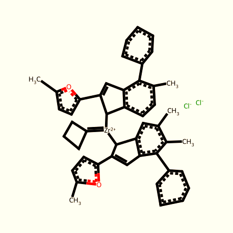 Cc1ccc(C2=Cc3c(ccc(C)c3-c3ccccc3)[CH]2[Zr+2](=[C]2CCC2)[CH]2C(c3ccc(C)o3)=Cc3c2cc(C)c(C)c3-c2ccccc2)o1.[Cl-].[Cl-]